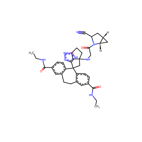 CCNC(=O)c1ccc2c(c1)CCc1cc(C(=O)NCC)ccc1C2(CC1(NCC(=O)N2C(C#N)C[C@@H]3C[C@@H]32)CCCC1)c1nnn[nH]1